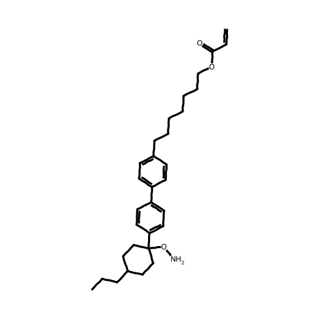 C=CC(=O)OCCCCCCCc1ccc(-c2ccc(C3(ON)CCC(CCC)CC3)cc2)cc1